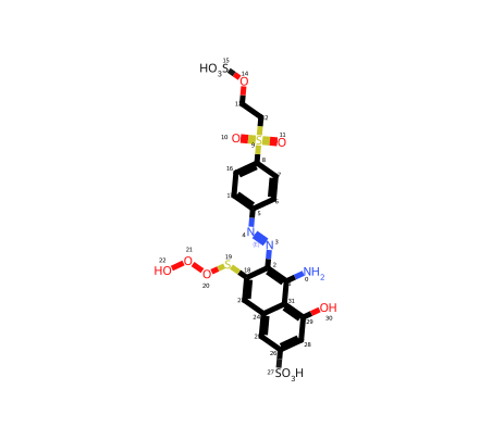 Nc1c(/N=N/c2ccc(S(=O)(=O)CCOS(=O)(=O)O)cc2)c(SOOO)cc2cc(S(=O)(=O)O)cc(O)c12